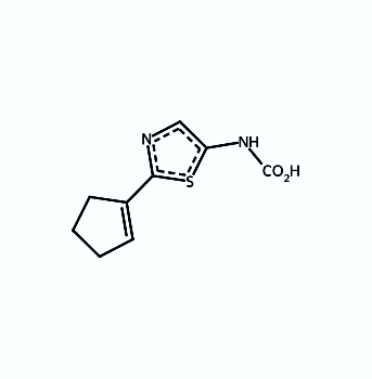 O=C(O)Nc1cnc(C2=CCCC2)s1